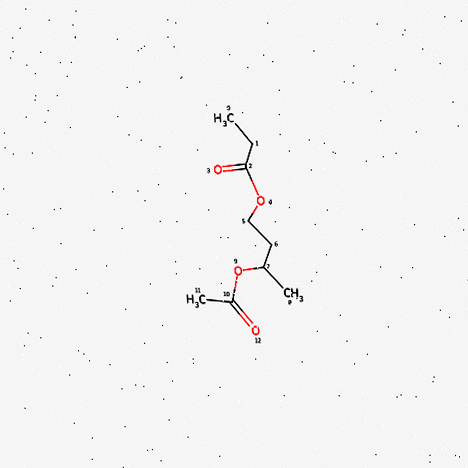 CCC(=O)OCCC(C)OC(C)=O